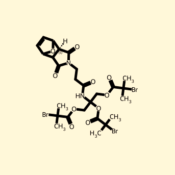 CC(C)(Br)C(=O)OCC(COC(=O)C(C)(C)Br)(NC(=O)CCN1C(=O)C2C3C=CC(O3)[C@H]2C1=O)OC(=O)C(C)(C)Br